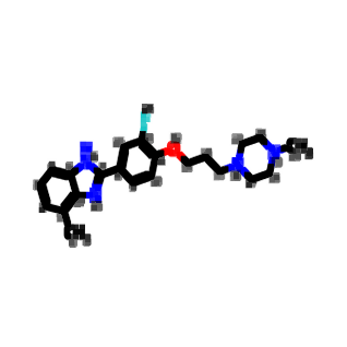 Cc1cccc2[nH]c(-c3ccc(OCCCN4CCN(C)CC4)c(F)c3)nc12